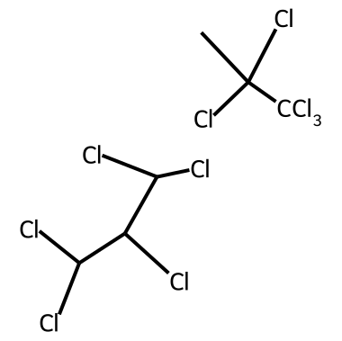 CC(Cl)(Cl)C(Cl)(Cl)Cl.ClC(Cl)C(Cl)C(Cl)Cl